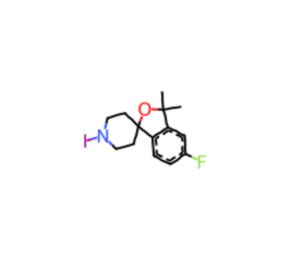 CC1(C)OC2(CCN(I)CC2)c2ccc(F)cc21